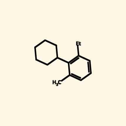 CCc1cccc(C)c1C1CCCCC1